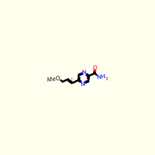 COC/C=C/c1cnc(C(N)=O)cn1